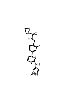 Cc1cc(-c2ccnc(Nc3cnn(C)c3)n2)ccc1CNC(=O)N1CCC1